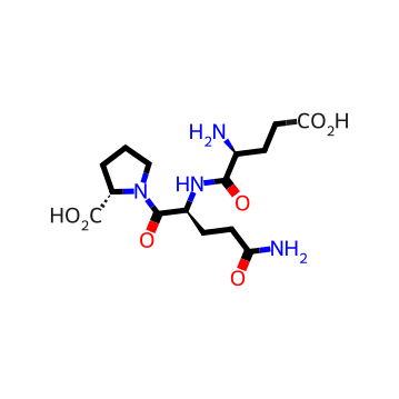 NC(=O)CC[C@H](NC(=O)[C@@H](N)CCC(=O)O)C(=O)N1CCC[C@H]1C(=O)O